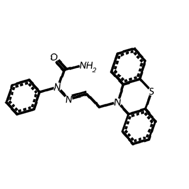 NC(=O)N(N=CCN1c2ccccc2Sc2ccccc21)c1ccccc1